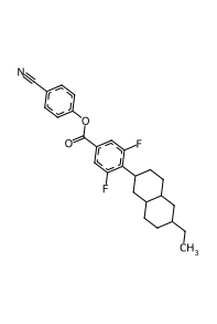 CCC1CCC2CC(c3c(F)cc(C(=O)Oc4ccc(C#N)cc4)cc3F)CCC2C1